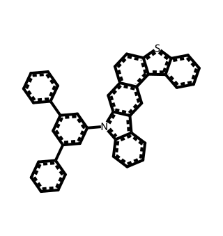 c1ccc(-c2cc(-c3ccccc3)cc(-n3c4ccccc4c4cc5c(ccc6sc7ccccc7c65)cc43)c2)cc1